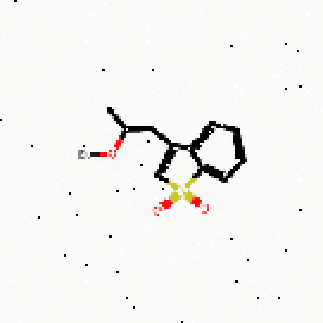 CCOC(C)CC1=CS(=O)(=O)c2ccccc21